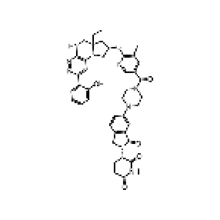 CC[C@]12CNc3nnc(-c4ccccc4O)cc3N1C[C@H](Oc1ncc(C(=O)N3CCN(c4ccc5c(c4)C(=O)N([C@H]4CCC(=O)NC4=O)C5)CC3)cc1C)C2